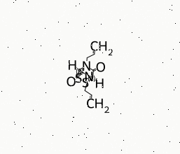 C=CCN1C(=O)[C@H]2SS[C@@H]1C(=O)N2CC=C